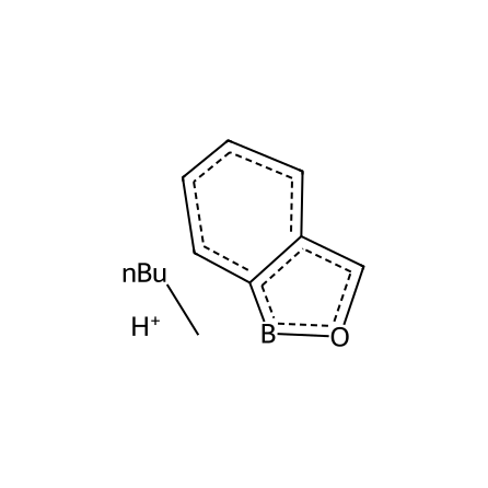 CCCCC.[H+].b1occ2ccccc12